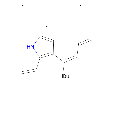 C=C/C=C(\c1cc[nH]c1C=C)C(C)CC